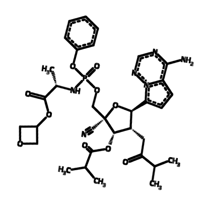 CC(C)C(=O)C[C@H]1[C@H](c2ccc3c(N)ncnn23)O[C@](C#N)(COP(=O)(N[C@@H](C)C(=O)OC2COC2)Oc2ccccc2)[C@H]1OC(=O)C(C)C